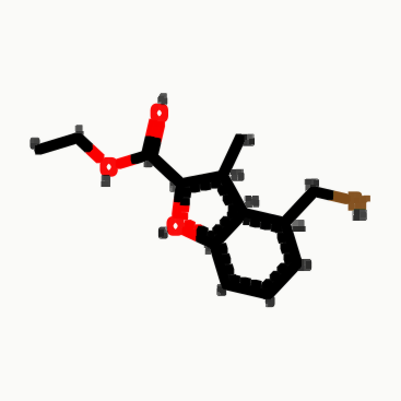 CCOC(=O)c1oc2cccc(CBr)c2c1C